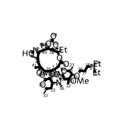 CC[C@H]1OC(=O)[C@H](C)[C@@H](O[C@H]2C[C@@](C)(OC)[C@@H](OCCCN(CC)CC)[C@H](C)O2)[C@H](C)[C@@H](O[C@@H]2O[C@H](C)C[C@H](N(C)C)[C@H]2OC(C)=O)[C@](C)(OC)C[C@@H](C)/C(=N\O)[C@H](C)[C@H]2OC(=O)O[C@@]21C